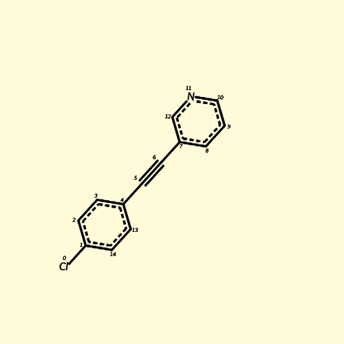 Clc1ccc(C#Cc2cccnc2)cc1